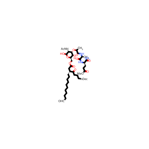 CCCCCCCCCCCCCC(=O)[C@H](CCCCCCCCCCC=O)CC(=O)OC[C@H]1OC(O)[C@H](NC(C)=O)[C@H](OC(C)C(=O)N[C@@H](C)C(=O)N[C@H](CCC(=O)OC)C(N)=O)[C@@H]1O